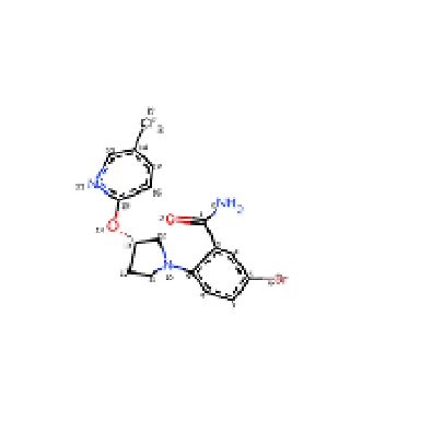 NC(=O)c1cc(Br)ccc1N1CC[C@H](Oc2ccc(C(F)(F)F)cn2)C1